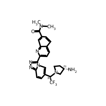 CN(C)C(=O)c1ccc2ccc(-c3nnc4ccc([C@@H](N5CC[C@H](N)C5)C(F)(F)F)cn34)nc2c1